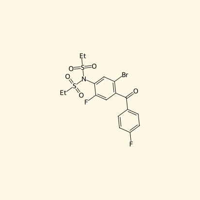 CCS(=O)(=O)N(c1cc(Br)c(C(=O)c2ccc(F)cc2)cc1F)S(=O)(=O)CC